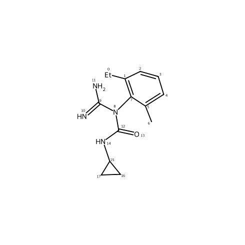 CCc1cccc(C)c1N(C(=N)N)C(=O)NC1CC1